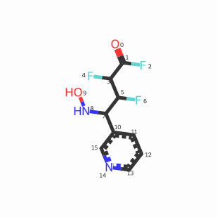 O=C(F)C(F)C(F)C(NO)c1cccnc1